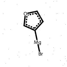 [Br][Mg][c]1ccoc1